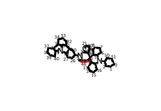 c1ccc(N2c3ccccc3C3(c4ccccc42)c2ccccc2N(c2ccc4c(c2)c2cccc5c6ccccc6n4c52)c2ccccc23)cc1